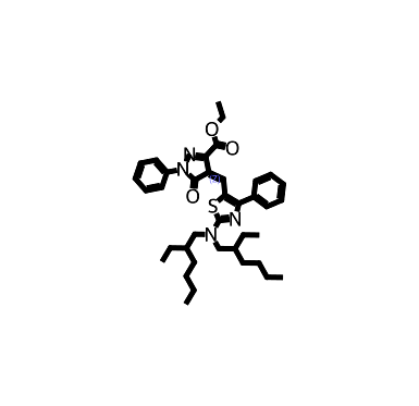 CCCCC(CC)CN(CC(CC)CCCC)c1nc(-c2ccccc2)c(/C=C2\C(=O)N(c3ccccc3)N=C2C(=O)OCC)s1